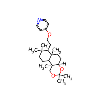 CC1(C)OC[C@@]2(C)C3CCC(C)(C)[C@@H](CCOc4ccncc4)[C@]3(C)CC[C@H]2O1